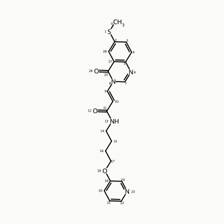 CSc1ccc2ncn(C=CC(=O)NCCCCOc3cccnc3)c(=O)c2c1